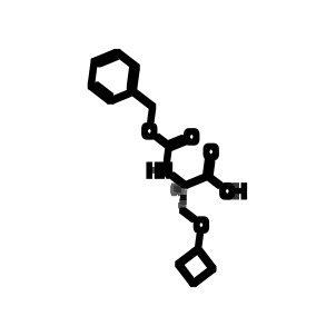 O=C(N[C@@H](COC1CCC1)C(=O)O)OCc1ccccc1